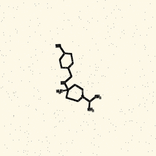 CC(C)N1CCC(C)(NCC2CCC(O)CC2)CC1